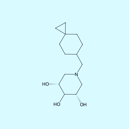 OC1[C@H](O)CN(CC2CCC3(CC2)CC3)C[C@@H]1O